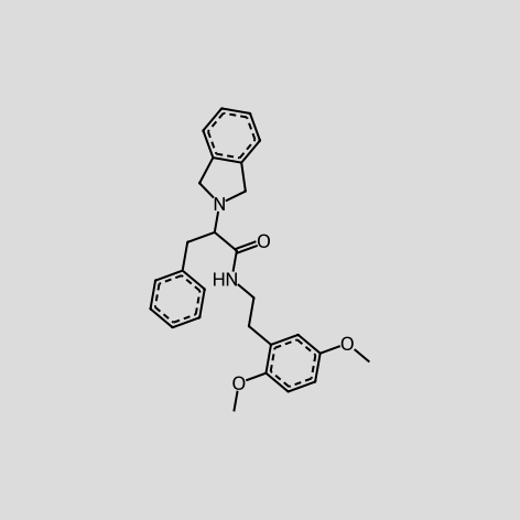 COc1ccc(OC)c(CCNC(=O)C(Cc2ccccc2)N2Cc3ccccc3C2)c1